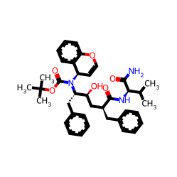 CC(C)[C@@H](NC(=O)[C@@H](Cc1ccccc1)C[C@H](O)[C@H](Cc1ccccc1)N(C(=O)OC(C)(C)C)[C@@H]1C=COc2ccccc21)C(N)=O